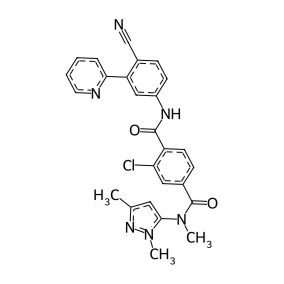 Cc1cc(N(C)C(=O)c2ccc(C(=O)Nc3ccc(C#N)c(-c4ccccn4)c3)c(Cl)c2)n(C)n1